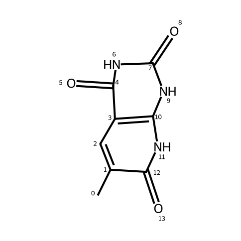 Cc1cc2c(=O)[nH]c(=O)[nH]c2[nH]c1=O